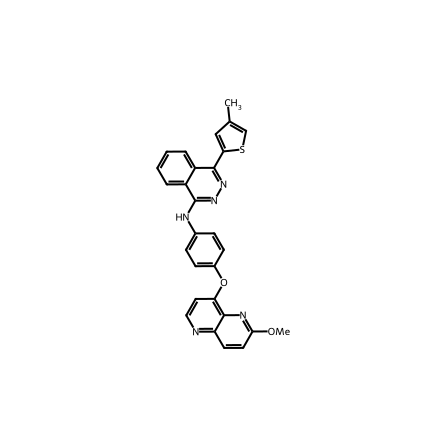 COc1ccc2nccc(Oc3ccc(Nc4nnc(-c5cc(C)cs5)c5ccccc45)cc3)c2n1